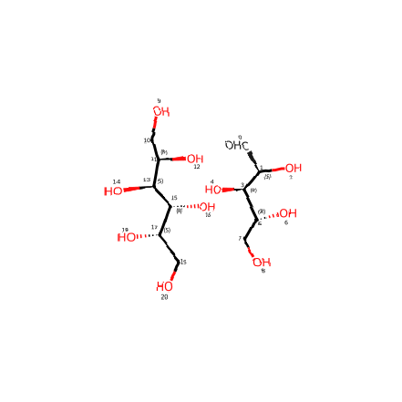 O=C[C@@H](O)[C@H](O)[C@H](O)CO.OC[C@@H](O)[C@H](O)[C@H](O)[C@@H](O)CO